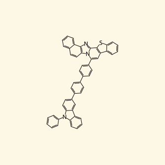 c1ccc(-n2c3ccccc3c3cc(-c4ccc(-c5ccc(-c6cc7c8ccccc8sc7c7nc8c9ccccc9ccc8n67)cc5)cc4)ccc32)cc1